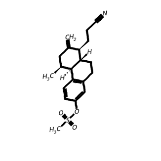 C=C1C[C@H](C)[C@@H]2c3ccc(OS(C)(=O)=O)cc3CC[C@H]2[C@@H]1CCC#N